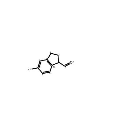 O=CC1CCc2cc(F)ccc21